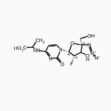 CC(Nc1ccn([C@@H]2O[C@@](CO)(N=[N+]=[N-])C(O)[C@@H]2F)c(=O)n1)C(=O)O